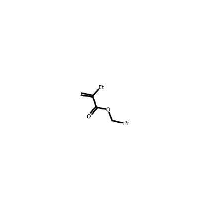 C=C(CC)C(=O)OCC(C)C